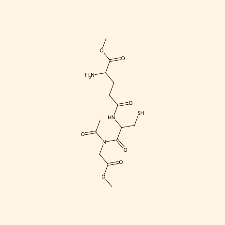 COC(=O)CN(C(C)=O)C(=O)C(CS)NC(=O)CCC(N)C(=O)OC